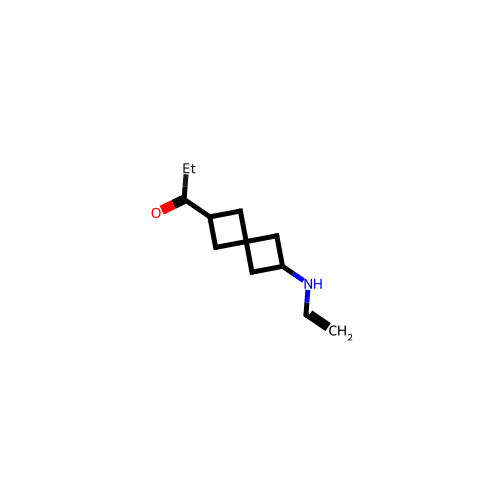 C=CNC1CC2(C1)CC(C(=O)CC)C2